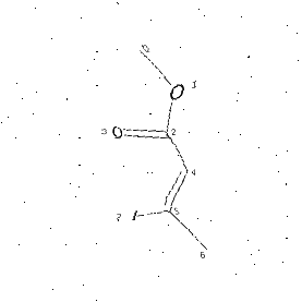 COC(=O)/C=C(/C)I